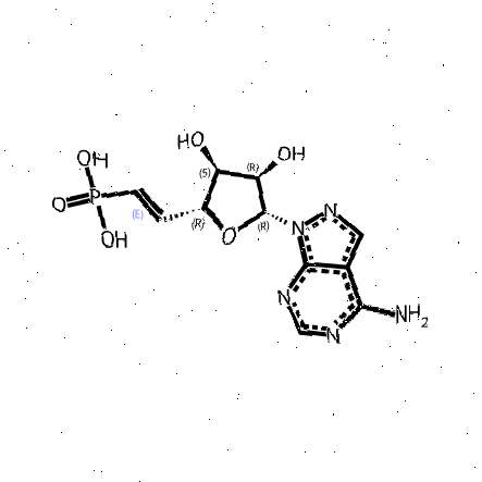 Nc1ncnc2c1cnn2[C@@H]1O[C@H](/C=C/P(=O)(O)O)[C@@H](O)[C@H]1O